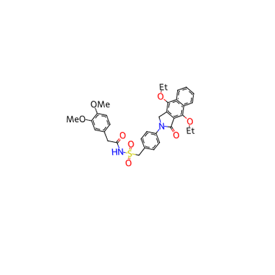 CCOc1c2c(c(OCC)c3ccccc13)C(=O)N(c1ccc(CS(=O)(=O)NC(=O)Cc3ccc(OC)c(OC)c3)cc1)C2